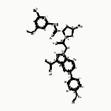 COc1cc(Br)nc(NC(=O)[C@@H]2C[C@@H](F)CN2C(=O)Cn2nc(C(C)=O)c3cc(-c4cnc(OC)nc4)ccc32)c1